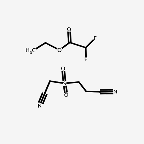 CCOC(=O)C(F)F.N#CCCS(=O)(=O)CC#N